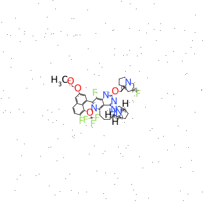 COCOc1cc(-c2nc3c4c(nc(OC[C@@]56CCCN5C[C@H](F)C6)nc4c2F)N2C[C@H]4CC[C@H](N4)[C@H]2CCC3)c2c(OC(F)(F)F)c(F)ccc2c1